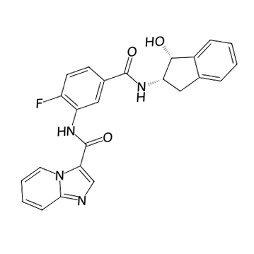 O=C(N[C@H]1Cc2ccccc2[C@H]1O)c1ccc(F)c(NC(=O)c2cnc3ccccn23)c1